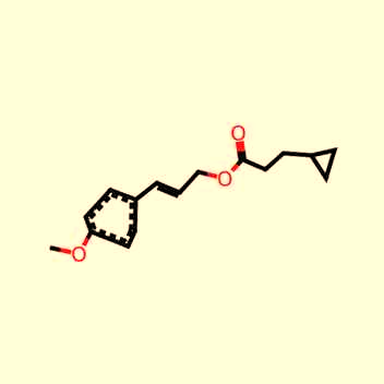 COc1ccc(/C=C/COC(=O)CCC2CC2)cc1